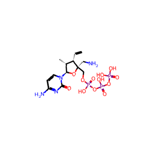 C=C[C@H]1[C@@H](C)[C@H](n2ccc(N)nc2=O)O[C@]1(CN)COP(=O)(O)OP(=O)(O)OP(=O)(O)O